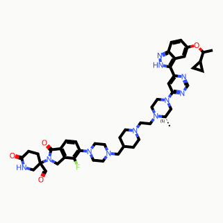 CC(Oc1ccc2n[nH]c(-c3cc(N4CCN(CCN5CCC(CN6CCN(c7ccc8c(c7F)CN(C7(C=O)CCC(=O)NC7)C8=O)CC6)CC5)[C@@H](C)C4)ncn3)c2c1)C1CC1